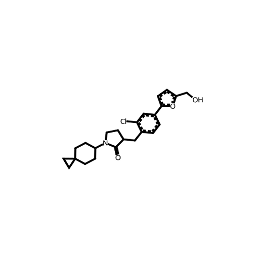 O=C1C(Cc2ccc(-c3ccc(CO)o3)cc2Cl)CCN1C1CCC2(CC1)CC2